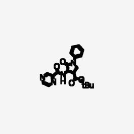 CC(C)(C)OC(=O)C1CN(c2ccccc2)C(=O)C1NC(=O)c1cnccn1